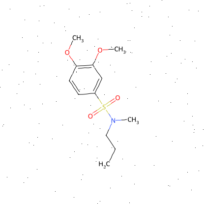 CCCN(C)S(=O)(=O)c1ccc(OC)c(OC)c1